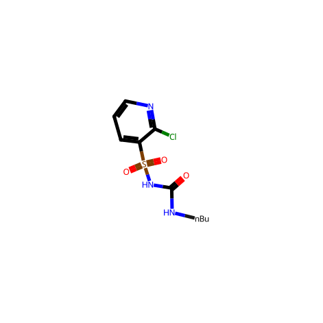 CCCCNC(=O)NS(=O)(=O)c1cccnc1Cl